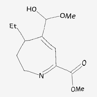 CCC1CCN=C(C(=O)OC)C=C1C(O)OC